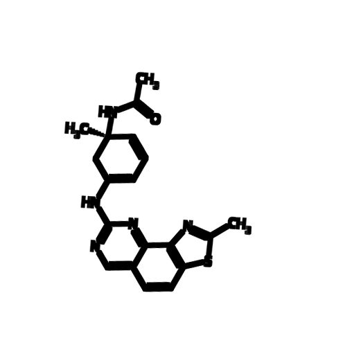 CC(=O)N[C@@]1(C)C=CC=C(Nc2ncc3ccc4sc(C)nc4c3n2)C1